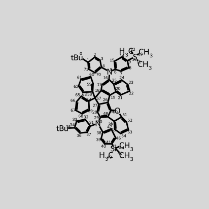 CC(C)(C)c1ccc(N(c2ccc(S(C)(C)C)cc2)c2cc3c(c4ccccc24)-c2c(cc(N(c4ccc(C(C)(C)C)cc4)c4ccc([Si](C)(C)C)cc4)c4c2oc2ccccc24)C3(c2ccccc2)c2ccccc2)cc1